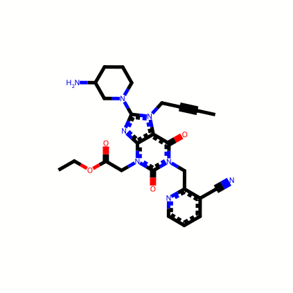 CC#CCn1c(N2CCCC(N)C2)nc2c1c(=O)n(Cc1ncccc1C#N)c(=O)n2CC(=O)OCC